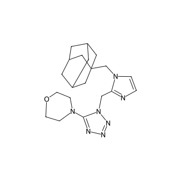 c1cn(CC23CC4CC(CC(C4)C2)C3)c(Cn2nnnc2N2CCOCC2)n1